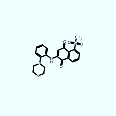 CS(=O)(=O)c1cccc2c1C(=O)C=C(Nc1ccccc1N1CCNCC1)C2=O